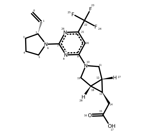 C=C[C@H]1CCCN1c1nc(N2C[C@@H]3[C@@H](CC(=O)O)[C@@H]3C2)cc(C(F)(F)F)n1